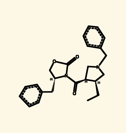 CC[C@@H]1CN(Cc2ccccc2)C[C@@H]1C(=O)N1C(=O)OC[C@H]1Cc1ccccc1